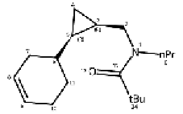 CCCN(C[C@@H]1C[C@@H]1C1CC=CCC1)C(=O)C(C)(C)C